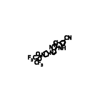 N#Cc1ccc(Nc2ncnc3c2ccn3C2CCN(C(=O)OC(C(F)(F)F)C(F)(F)F)CC2)c(Cl)c1